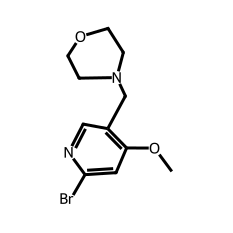 COc1cc(Br)ncc1CN1CCOCC1